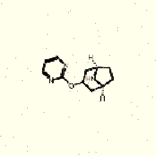 c1cnc(O[C@H]2C[C@H]3CC[C@@H](C2)N3)nc1